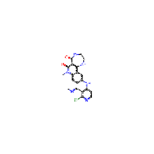 CN=Cc1c(Nc2ccc3c(c2)c2c(c(=O)n3C)C(=O)NCCN2)ccnc1Cl